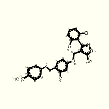 CC(C)c1onc(-c2c(Cl)cccc2Cl)c1COc1ccc(CSc2ccc(C(=O)O)cc2)c(Cl)c1